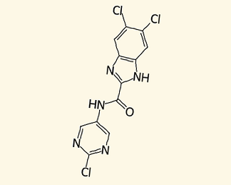 O=C(Nc1cnc(Cl)nc1)c1nc2cc(Cl)c(Cl)cc2[nH]1